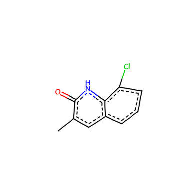 Cc1cc2cccc(Cl)c2[nH]c1=O